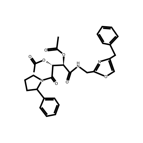 CC(=O)O[C@@H](C(=O)NCc1nc(Cc2ccccc2)co1)[C@@H](OC(C)=O)C(=O)N1CCCC1c1ccccc1